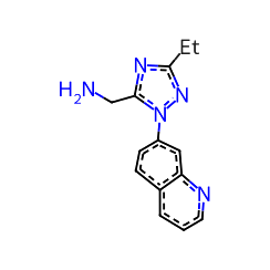 CCc1nc(CN)n(-c2ccc3cccnc3c2)n1